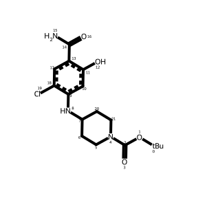 CC(C)(C)OC(=O)N1CCC(Nc2cc(O)c(C(N)=O)cc2Cl)CC1